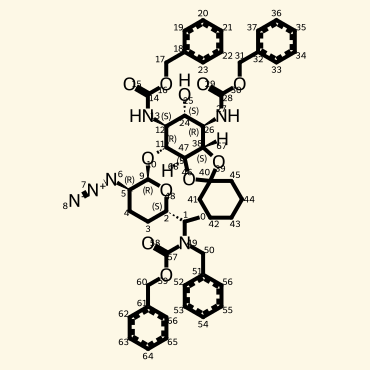 CC([C@@H]1CC[C@@H](N=[N+]=[N-])[C@@H](O[C@@H]2[C@@H](NC(=O)OCc3ccccc3)[C@H](O)[C@@H](NC(=O)OCc3ccccc3)[C@@H]3OC4(CCCCC4)O[C@@H]23)O1)N(Cc1ccccc1)C(=O)OCc1ccccc1